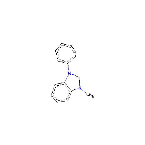 CN1[CH]N(c2ccccc2)c2ccccc21